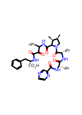 CCCC(NC(=O)C1[C@@H](C)[C@@H](C)CN1C(=O)[C@@H](NC(=O)[C@@H](NC(=O)c1cnccn1)C(C)C)C(C)C)C(=O)C(=O)N[C@@H](Cc1ccccc1)C(=O)O